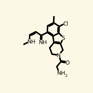 CN/C=C\C(=N)c1cc(C)c(Cl)c2sc3c(c12)CCN(C(=O)CN)C3